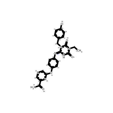 CCn1c(=O)[nH]/c(=N\c2ccc(Oc3cncc(C(N)=O)n3)cc2)n(Cc2ccc(Cl)cc2)c1=O